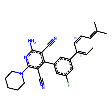 C/C=C(\C=C/C=C(C)C)c1cc(F)cc(-c2c(C#N)c(N)nc(N3CCCCC3)c2C#N)c1